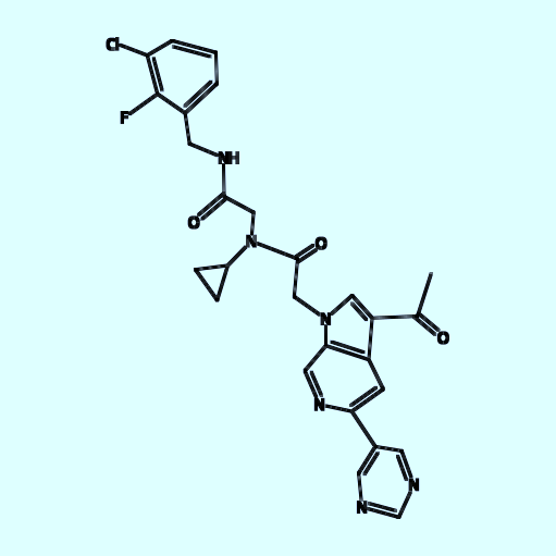 CC(=O)c1cn(CC(=O)N(CC(=O)NCc2cccc(Cl)c2F)C2CC2)c2cnc(-c3cncnc3)cc12